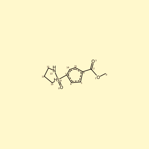 COC(=O)c1ccc([SH]2(=O)CCCN2)cc1